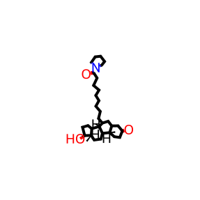 C[C@]12CCC(=O)CC1CC(CCCCCCCCC(=O)N1CCCCC1)[C@@H]1[C@H]2CC[C@]2(C)C(O)CC[C@@H]12